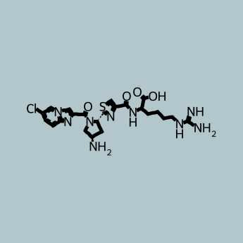 N=C(N)NCCCCC(NC(=O)c1csc([C@@H]2C[C@@H](N)CN2C(=O)c2cn3cc(Cl)ccc3n2)n1)C(=O)O